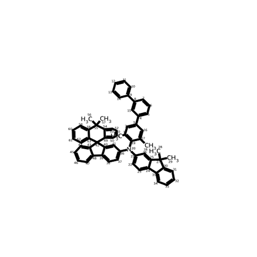 Cc1cc(-c2cccc(-c3ccccc3)c2)cc(C)c1N(c1ccc2c(c1)C(C)(C)c1ccccc1-2)c1ccc2c(c1)C1(c3ccccc3-2)c2ccccc2C(C)(C)c2ccccc21